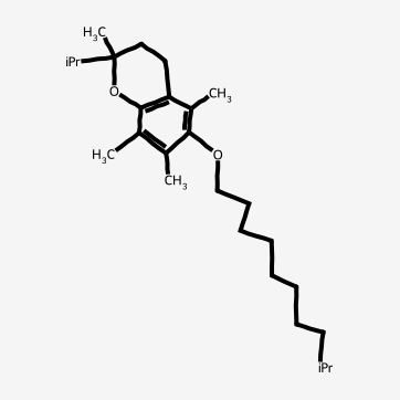 Cc1c(C)c2c(c(C)c1OCCCCCCCCC(C)C)CCC(C)(C(C)C)O2